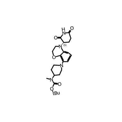 CN(C(=O)OC(C)(C)C)C1CCN(c2cccc3c2OCCN3[C@H]2CCC(=O)NC2=O)CC1